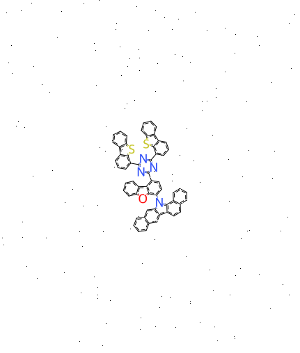 c1ccc2cc3c(cc2c1)c1ccc2ccccc2c1n3-c1ccc(-c2nc(-c3cccc4c3sc3ccccc34)nc(-c3cccc4c3sc3ccccc34)n2)c2c1oc1ccccc12